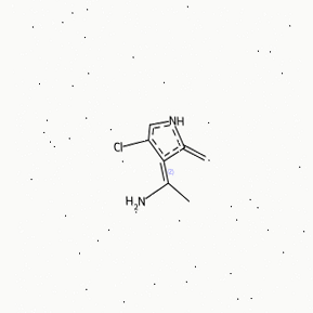 C=c1[nH]cc(Cl)/c1=C(/C)N